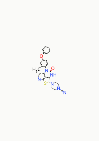 Cc1cc(Oc2ccccc2)ccc1N1C(=O)NC2c3c1ccnc3SC2N1CCN(C#N)CC1